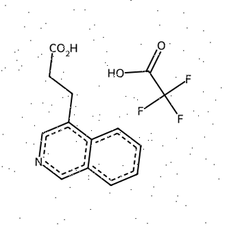 O=C(O)C(F)(F)F.O=C(O)CCc1cncc2ccccc12